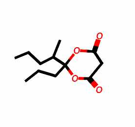 CCCC(C)C1(CCC)OC(=O)CC(=O)O1